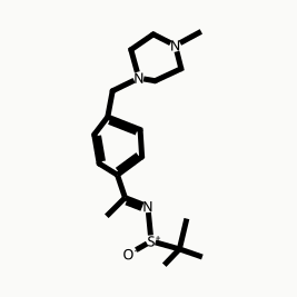 CC(=N[S+]([O-])C(C)(C)C)c1ccc(CN2CCN(C)CC2)cc1